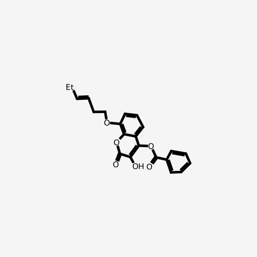 CCC=CCCOc1cccc2c(OC(=O)c3ccccc3)c(O)c(=O)oc12